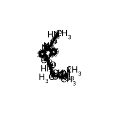 CCNC(=O)C(C)(C)CCOC(C)(C)CCNC(=O)CCC(=O)N1Cc2ccccc2-c2c(nnn2CCOCCNC)-c2ccccc21